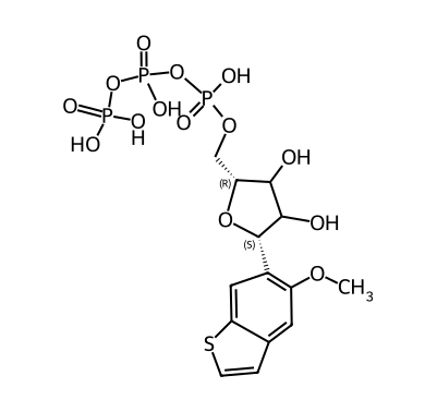 COc1cc2ccsc2cc1[C@@H]1O[C@H](COP(=O)(O)OP(=O)(O)OP(=O)(O)O)C(O)C1O